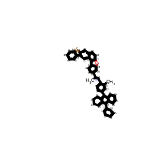 C/C(=C\c1ccc(-c2c3c(c(-c4ccccc4)c4ccccc24)=CCCC=3)cc1C)c1ccc2c(c1)oc1ccc3cc4sc5ccccc5c4cc3c12